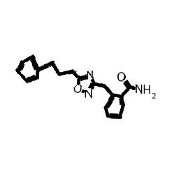 NC(=O)c1ccccc1Cc1noc([CH]CCc2ccccc2)n1